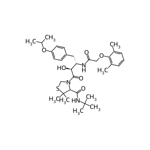 Cc1cccc(C)c1OCC(=O)N[C@@H](Cc1ccc(OC(C)C)cc1)[C@H](O)C(=O)N1CSC(C)(C)C1C(=O)NC(C)(C)C